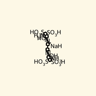 Cc1cc(-c2ccc(/N=N/c3ccc4c(S(=O)(=O)O)cc(S(=O)(=O)O)c(N)c4c3O)c(C)c2)ccc1/N=N/c1ccc2c(S(=O)(=O)O)cc(S(=O)(=O)O)c(N)c2c1O.[NaH]